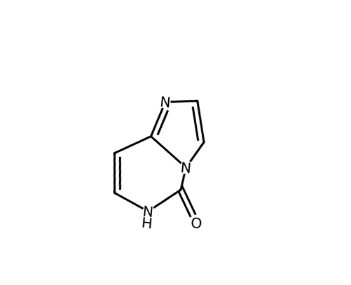 O=c1[nH]ccc2nccn12